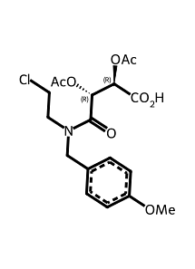 COc1ccc(CN(CCCl)C(=O)[C@H](OC(C)=O)[C@@H](OC(C)=O)C(=O)O)cc1